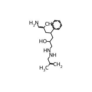 C=C(C)CNNCC(O)CC(CC(C)=CN)c1ccccc1